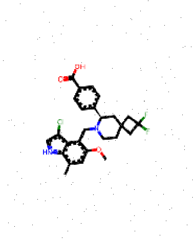 COc1cc(C)c2[nH]cc(Cl)c2c1CN1CCC2(C[C@@H]1c1ccc(C(=O)O)cc1)CC(F)(F)C2